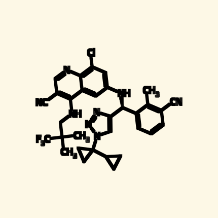 Cc1c(C#N)cccc1[C@H](Nc1cc(Cl)c2ncc(C#N)c(NCC(C)(C)C(F)(F)F)c2c1)c1cn(C2(C3CC3)CC2)nn1